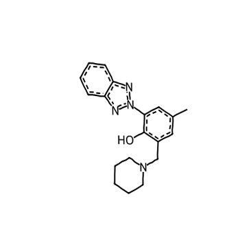 Cc1cc(CN2CCCCC2)c(O)c(-n2nc3ccccc3n2)c1